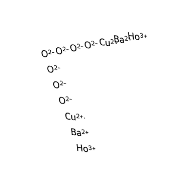 [Ba+2].[Ba+2].[Cu+2].[Cu+2].[Ho+3].[Ho+3].[O-2].[O-2].[O-2].[O-2].[O-2].[O-2].[O-2]